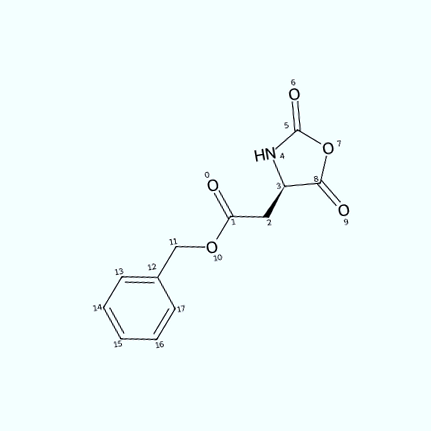 O=C(C[C@H]1NC(=O)OC1=O)OCc1ccccc1